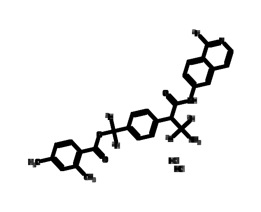 Cl.Cl.[2H]c1nccc2cc(NC(=O)C(c3ccc(C([2H])([2H])OC(=O)c4ccc(C)cc4C)cc3)C([2H])([2H])N)ccc12